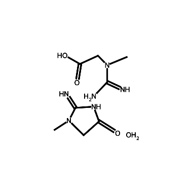 CN(CC(=O)O)C(=N)N.CN1CC(=O)NC1=N.O